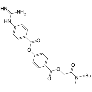 CCCCN(C)C(=O)COC(=O)c1ccc(OC(=O)c2ccc(NC(=N)N)cc2)cc1